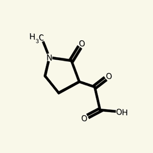 CN1CCC(C(=O)C(=O)O)C1=O